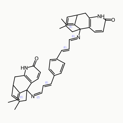 C/C=C1\C2C=C(C)CC1(/N=C\C=C\c1ccc(/C=C/C=N/C34CC(C)=CC(Cc5[nH]c(=O)ccc53)/C4=C\C)cc1)c1ccc(=O)[nH]c1C2